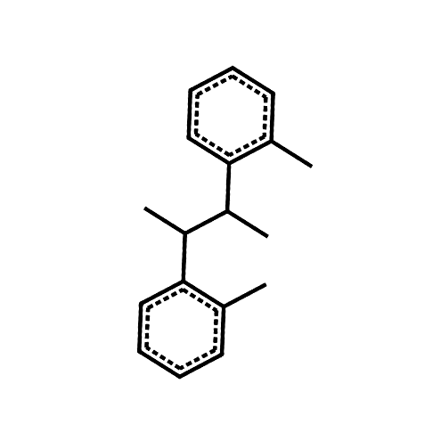 Cc1ccccc1C(C)C(C)c1ccccc1C